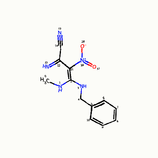 CN/C(NCc1ccccc1)=C(\C(=N)C#N)[N+](=O)[O-]